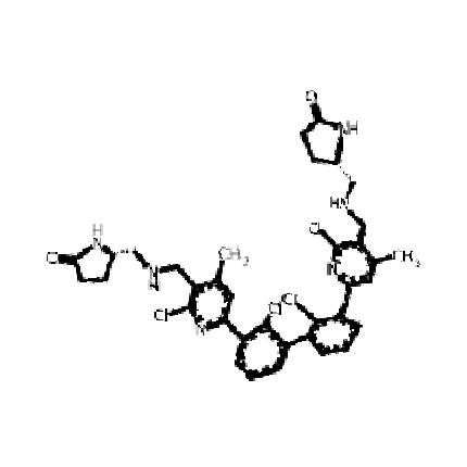 Cc1cc(-c2cccc(-c3cccc(-c4cc(C)c(CNC[C@@H]5CCC(=O)N5)c(Cl)n4)c3Cl)c2Cl)nc(Cl)c1CNC[C@@H]1CCC(=O)N1